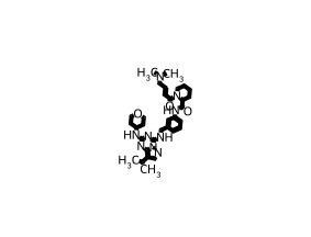 CC(C)c1cnn2c(NCc3cccc(NC(=O)C4CCCCN4C(=O)/C=C/CN(C)C)c3)nc(NC3CCOCC3)nc12